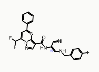 N=C/C(=C\NCc1ccc(F)cc1)NC(=O)c1cnn2c(C(F)F)cc(-c3ccccc3)nc12